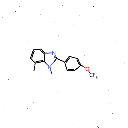 Cc1cccc2nc(-c3ccc(OC(F)(F)F)cc3)n(C)c12